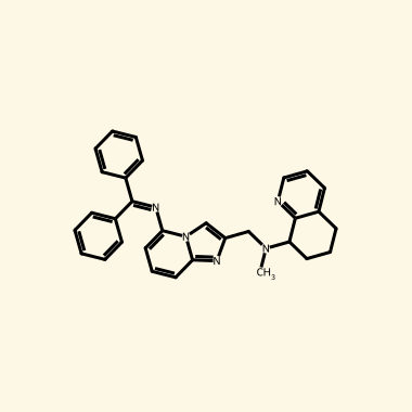 CN(Cc1cn2c(N=C(c3ccccc3)c3ccccc3)cccc2n1)C1CCCc2cccnc21